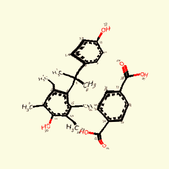 Cc1c(C)c(C(C)(C)c2ccc(O)cc2)c(C)c(C)c1O.O=C(O)c1ccc(C(=O)O)cc1